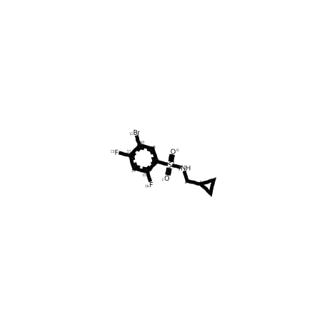 O=S(=O)(NCC1CC1)c1cc(Br)c(F)cc1F